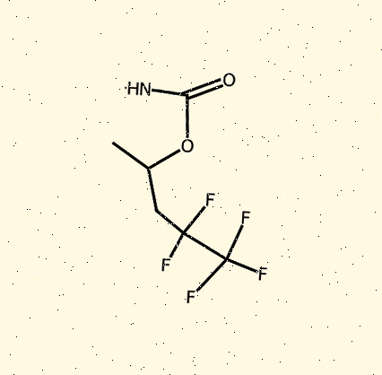 CC(CC(F)(F)C(F)(F)F)OC([NH])=O